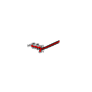 C=C=C=C=C=C=C=C=C=C=C=C=C=C=C=C=C=C=C=C=C=C=C=C=C=C=C=C=C=C=C=C=C=C=C=C(NC(=O)c1ccc(O)cc1)NC(=O)c1cc(O)cc(C(=O)NCNC(=O)c2cccc(C(=O)NCNC(=O)c3ccc(O)cc3)c2)c1